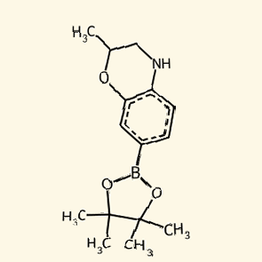 CC1CNc2ccc(B3OC(C)(C)C(C)(C)O3)cc2O1